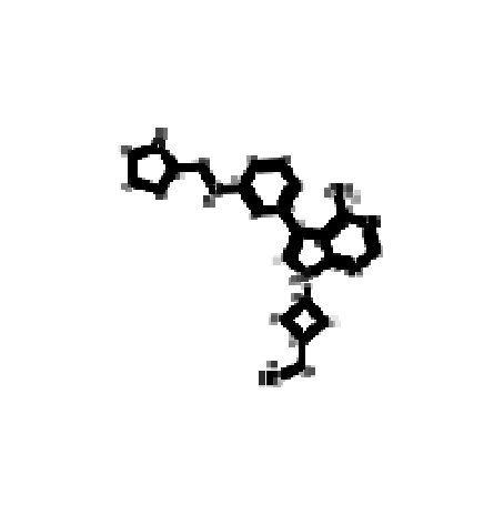 Nc1ncnc2c1c(-c1cccc(OCC3CCCO3)c1)cn2[C@H]1C[C@H](CO)C1